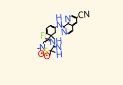 CN1C[C@@](C)(C2(C)CC(Nc3nccc4cc(C#N)cnc34)=CC=C2F)NC(=N)C(C)(C)S1(=O)=O